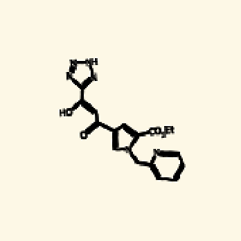 CCOC(=O)c1cc(C(=O)C=C(O)c2nn[nH]n2)cn1Cc1ccccn1